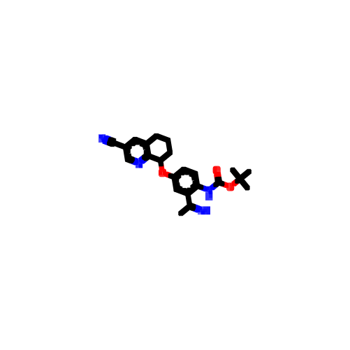 CC(=N)c1cc(OC2CCCc3cc(C#N)cnc32)ccc1NC(=O)OC(C)(C)C